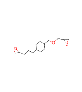 C(CC1CCC(COCC2CO2)CC1)CC1CO1